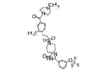 Cc1cc(C(=O)N2CCN(C)CC2)ccc1/C=C/S(=O)(=O)N1CCC2(CC1)N=C(c1cccc(OC(F)(F)F)c1)NC2=O